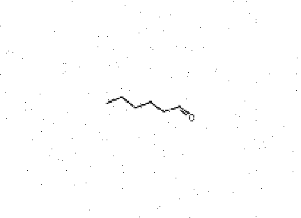 CC[CH]CC[C]=O